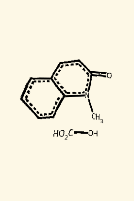 Cn1c(=O)ccc2ccccc21.O=C(O)O